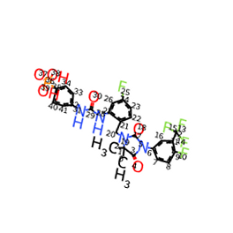 CC1(C)C(=O)N(c2ccc(F)c(C(F)(F)F)c2)C(=O)N1Cc1ccc(F)cc1NC(=O)Nc1ccc(P(=O)(O)O)cc1